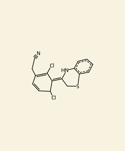 N#CCC1=C(Cl)C(=C2CSc3ccccc3N2)C(Cl)C=C1